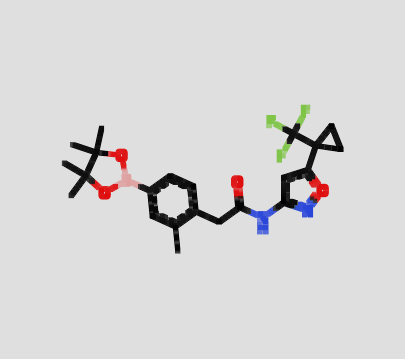 Cc1cc(B2OC(C)(C)C(C)(C)O2)ccc1CC(=O)Nc1cc(C2(C(F)(F)F)CC2)on1